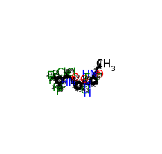 CCCC(=O)Nc1c(F)ccc(NC(=O)c2cc(NC(=O)C3C(c4cc(C(F)(F)F)cc(C(F)(F)F)c4)C3(Cl)Cl)ccc2Cl)c1F